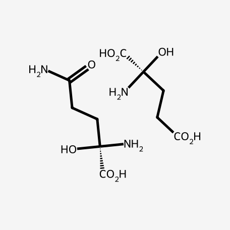 NC(=O)CC[C@@](N)(O)C(=O)O.N[C@@](O)(CCC(=O)O)C(=O)O